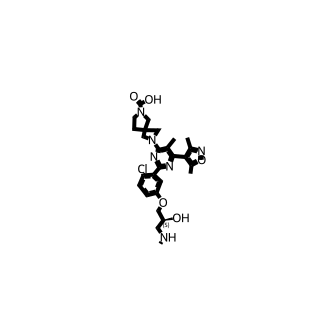 CNC[C@H](O)COc1ccc(Cl)c(-c2nc(-c3c(C)noc3C)c(C)c(N3CC4(CCN(C(=O)O)C4)C3)n2)c1